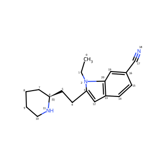 CCn1c(CC[C@@H]2CCCCN2)cc2ccc(C#N)cc21